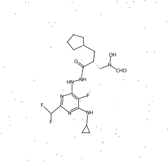 O=CN(O)C[C@@H](CC1CCCC1)C(=O)NNc1nc(C(F)F)nc(NC2CC2)c1F